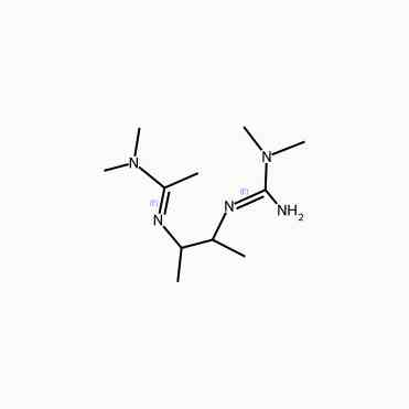 C/C(=N\C(C)C(C)/N=C(\N)N(C)C)N(C)C